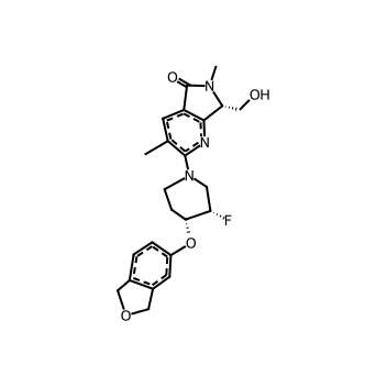 Cc1cc2c(nc1N1CC[C@@H](Oc3ccc4c(c3)COC4)[C@@H](F)C1)[C@@H](CO)N(C)C2=O